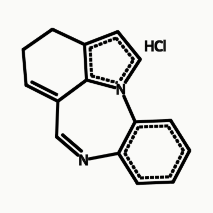 C1=Nc2ccccc2-n2ccc3c2C1=CCC3.Cl